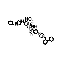 O=[N+]([O-])c1cc(S(=O)(=O)Nc2ncnc3cc(N4CCN(Cc5ccccc5-c5ccccc5)CC4)ccc23)ccc1NC1CCN(Cc2ccccc2)CC1